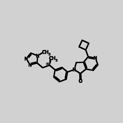 C[C@H](Cc1nncn1C)c1cccc(N2Cc3c(ccnc3C3CCC3)C2=O)c1